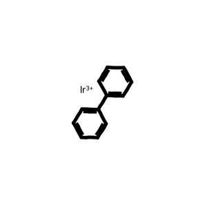 [Ir+3].c1ccc(-c2ccccc2)cc1